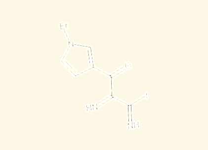 CCn1ccc(C(=O)C(=N)C(=N)I)c1